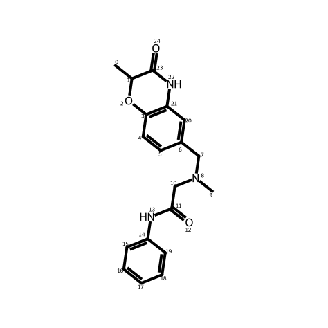 CC1Oc2ccc(CN(C)CC(=O)Nc3ccccc3)cc2NC1=O